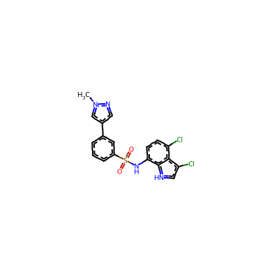 Cn1cc(-c2cccc(S(=O)(=O)Nc3ccc(Cl)c4c(Cl)c[nH]c34)c2)cn1